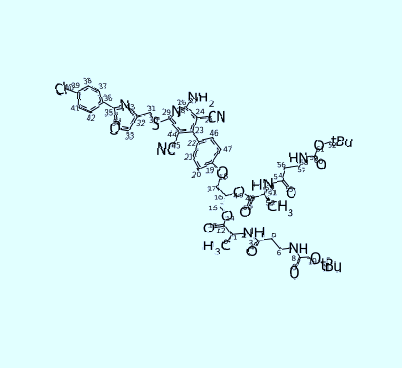 C[C@H](NC(=O)CCNC(=O)OC(C)(C)C)C(=O)OC[C@H](COc1ccc(-c2c(C#N)c(N)nc(SCc3coc(-c4ccc(Cl)cc4)n3)c2C#N)cc1)OC(=O)[C@H](C)NC(=O)CCNC(=O)OC(C)(C)C